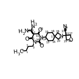 CCCCN1C(=O)C(=C(N)N)C(=O)N(C2CCC3(CC2)CN(C2(C#N)COC2)C3)C1=O